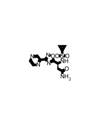 NC(=O)C[C@H](NS(=O)(=O)C1CC1)c1nc(-c2cnccn2)no1